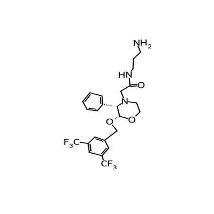 NCCCNC(=O)CN1CCO[C@H](OCc2cc(C(F)(F)F)cc(C(F)(F)F)c2)[C@@H]1c1ccccc1